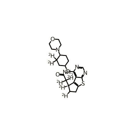 [2H]C1Cc2sc3ncnc(OC4CCC(N5CCOCC5)C([2H])([2H])C4)c3c2[C@@]1([2H])C([2H])([2H])C(N)=O